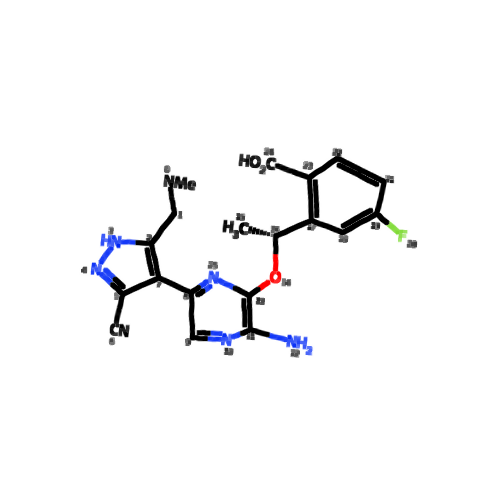 CNCc1[nH]nc(C#N)c1-c1cnc(N)c(O[C@H](C)c2cc(F)ccc2C(=O)O)n1